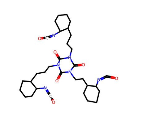 O=C=NC1CCCCC1CCCn1c(=O)n(CCCC2CCCCC2N=C=O)c(=O)n(CCC2CCCCC2N=C=O)c1=O